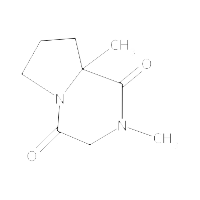 CN1CC(=O)N2CCCC2(C)C1=O